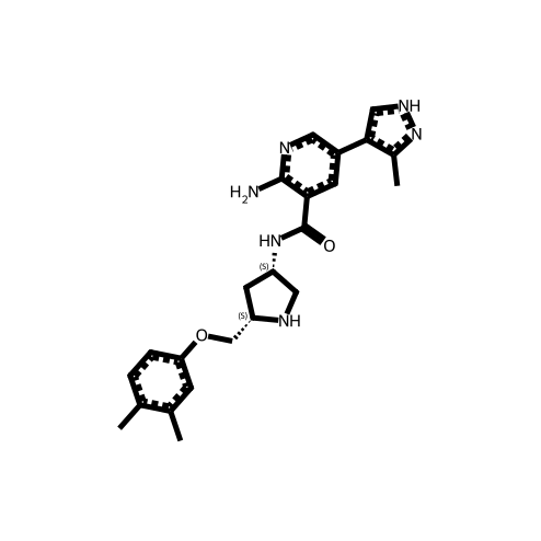 Cc1ccc(OC[C@@H]2C[C@H](NC(=O)c3cc(-c4c[nH]nc4C)cnc3N)CN2)cc1C